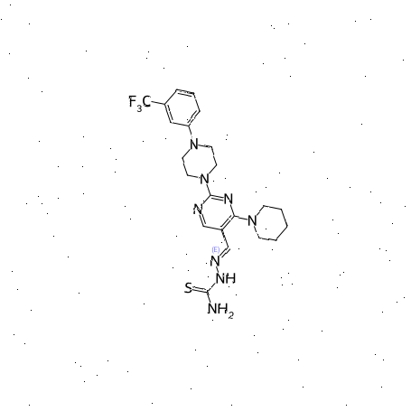 NC(=S)N/N=C/c1cnc(N2CCN(c3cccc(C(F)(F)F)c3)CC2)nc1N1CCCCC1